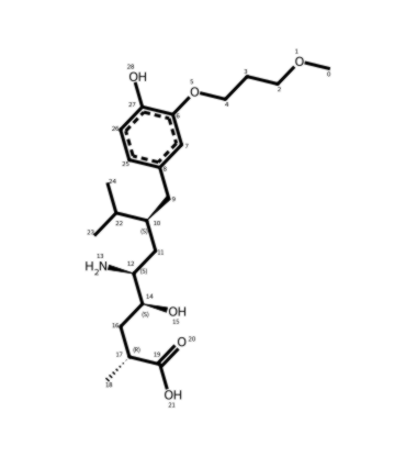 COCCCOc1cc(C[C@@H](C[C@H](N)[C@@H](O)C[C@@H](C)C(=O)O)C(C)C)ccc1O